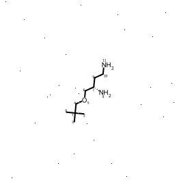 CC(C)(C)COC[C@@H](N)CCN